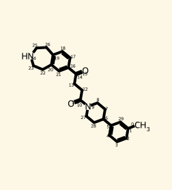 Cc1cccc(C2CCN(C(=O)CCC(=O)c3ccc4c(c3)CCNCC4)CC2)c1